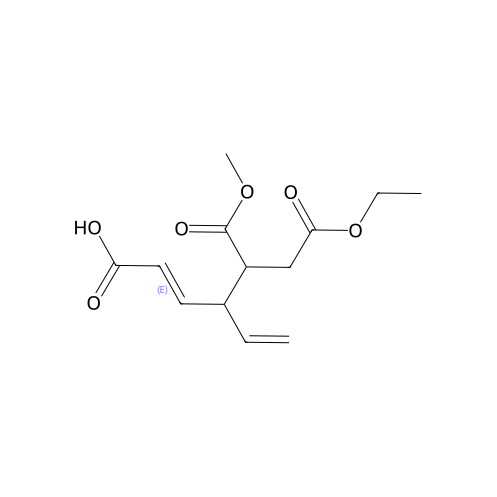 C=CC(/C=C/C(=O)O)C(CC(=O)OCC)C(=O)OC